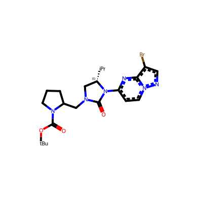 CC(C)[C@H]1CN(CC2CCCN2C(=O)OC(C)(C)C)C(=O)N1c1ccn2ncc(Br)c2n1